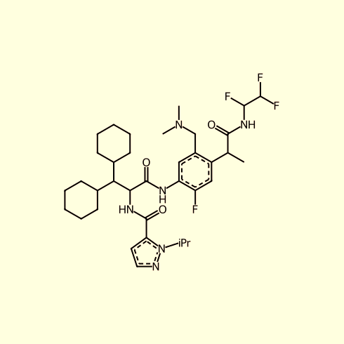 CC(C(=O)NC(F)C(F)F)c1cc(F)c(NC(=O)C(NC(=O)c2ccnn2C(C)C)C(C2CCCCC2)C2CCCCC2)cc1CN(C)C